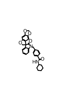 O=C(NC1CCCCC1)c1ccc(CN2C(=O)C3(COc4cc5c(cc43)OCO5)c3ccccc32)cc1